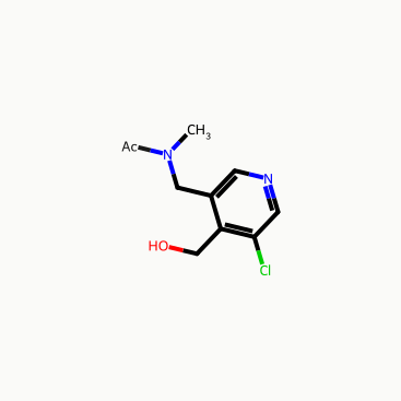 CC(=O)N(C)Cc1cncc(Cl)c1CO